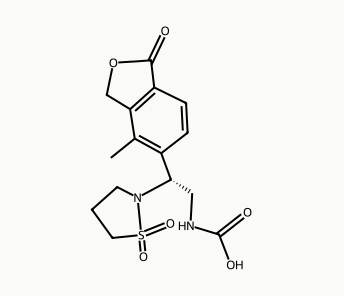 Cc1c([C@H](CNC(=O)O)N2CCCS2(=O)=O)ccc2c1COC2=O